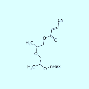 CCCCCCOC(C)COC(C)COC(=O)C=CC#N